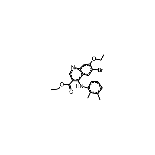 CCOC(=O)c1cnc2cc(OCC)c(Br)cc2c1Nc1cccc(C)c1C